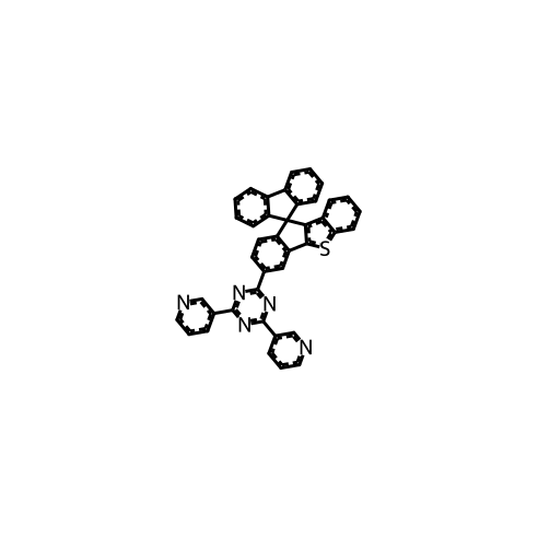 c1cncc(-c2nc(-c3cccnc3)nc(-c3ccc4c(c3)-c3sc5ccccc5c3C43c4ccccc4-c4ccccc43)n2)c1